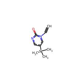 C#Cn1cc([Si](C)(C)C)cnc1=O